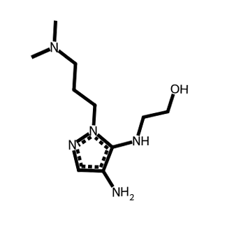 CN(C)CCCn1ncc(N)c1NCCO